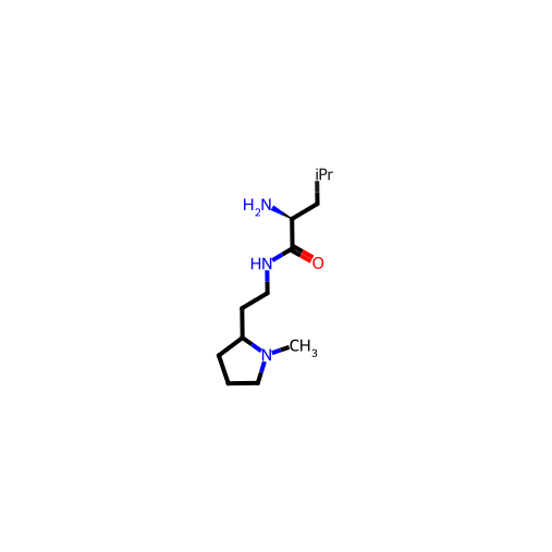 CC(C)C[C@H](N)C(=O)NCCC1CCCN1C